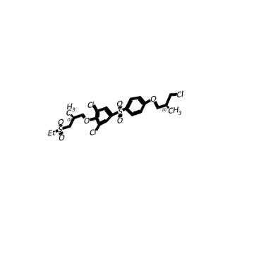 CCS(=O)(=O)C[C@@H](C)COc1c(Cl)cc(S(=O)(=O)c2ccc(OC[C@H](C)CCl)cc2)cc1Cl